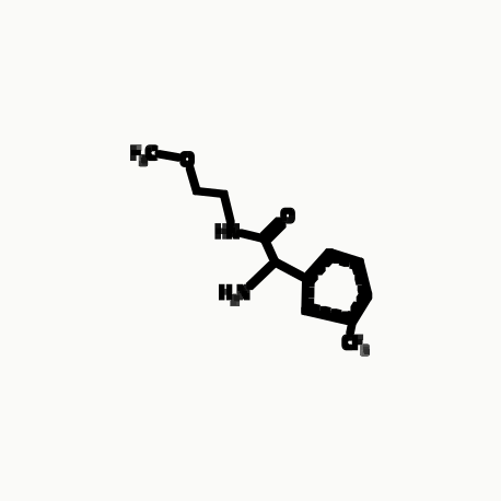 NC(C(=O)NCCOC(F)(F)F)c1cccc(C(F)(F)F)c1